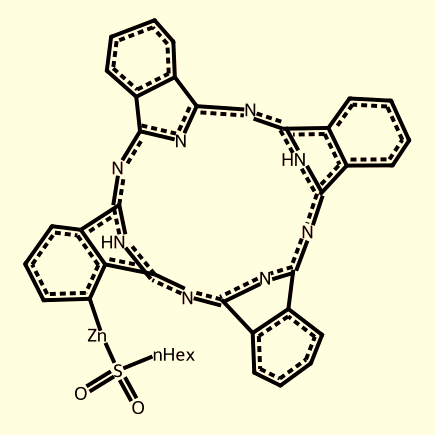 CCCCCC[S](=O)(=O)[Zn][c]1cccc2c3nc4nc(nc5[nH]c(nc6nc(nc([nH]3)c12)-c1ccccc1-6)c1ccccc51)-c1ccccc1-4